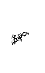 CC(C)(CC(=O)N1CCNCC1)C1NC2CC(C(F)(F)F)CC(C(F)(F)F)C2N1